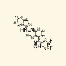 ON=C(c1ccc(F)c(F)c1)c1cccc2nc(N[C@@H]3CCc4ccccc43)ccc12